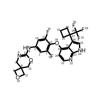 Fc1cc(NC2=NCC3(COC3)CO2)cc(F)c1Oc1ccnc2[nH]cc(C3(C(F)(F)F)CCC3)c12